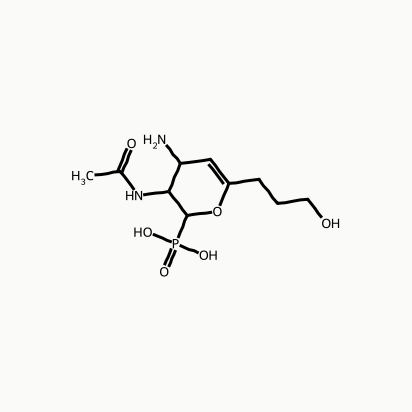 CC(=O)NC1C(N)C=C(CCCO)OC1P(=O)(O)O